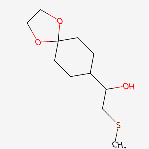 CSCC(O)C1CCC2(CC1)OCCO2